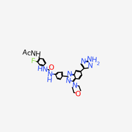 CC(=O)Nc1ccc(NC(=O)Nc2ccc(-c3nc(N4CCOCC4)c4ccc(-c5cnc(N)nc5)cc4n3)cc2)cc1F